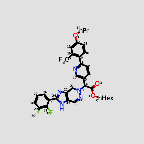 CCCCCCOC(=O)C(c1ccc(-c2ccc(OCCC)cc2C(F)(F)F)nc1)N1Cc2nc(-c3cccc(F)c3F)[nH]c2C=N1